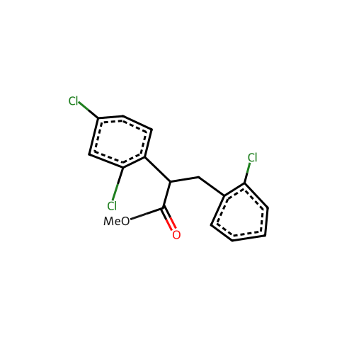 COC(=O)C(Cc1ccccc1Cl)c1ccc(Cl)cc1Cl